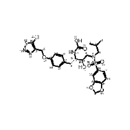 CC(C)CN(C[C@@H](O)[C@H](Cc1ccc(OCc2nnsc2Cl)cc1)NC(=O)O)S(=O)(=O)c1ccc2c(c1)OCO2